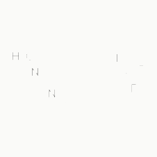 CN1C=CN(Cc2ccc(C(F)(F)F)cc2)C1